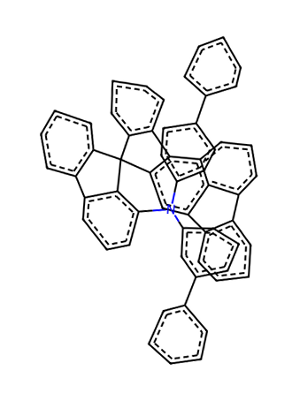 c1ccc(-c2ccc(N(c3cccc(-c4ccccc4)c3)c3cccc4c3C3(c5ccccc5-4)c4ccccc4-c4c3cc3c5c(cccc45)-c4ccccc4-3)cc2)cc1